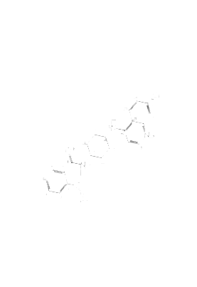 CCOc1ccccc1C(=O)N[C@H]1CC[C@@H](Nc2ccnc3cc(Cl)ccc23)CC1